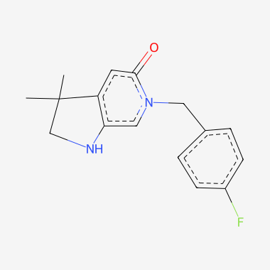 CC1(C)CNc2cn(Cc3ccc(F)cc3)c(=O)cc21